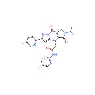 CC(C)N1Cc2c(n(CC(=O)Nc3ccc(F)cn3)c3cc(-c4ccc(F)cn4)nn3c2=O)C1=O